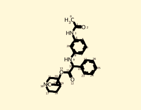 CC(=O)Nc1cccc(NC(C(=O)OC2CN3CCC2CC3)c2ccccc2)c1